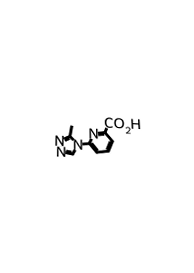 Cc1nncn1-c1cccc(C(=O)O)n1